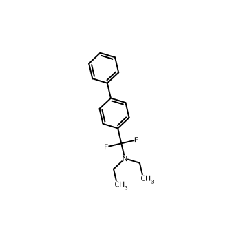 CCN(CC)C(F)(F)c1ccc(-c2ccccc2)cc1